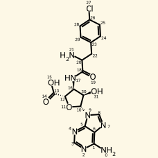 Nc1ncnc2c1ncn2[C@@H]1O[C@H](C(=O)O)[C@@H](NC(=O)C(N)Cc2ccc(Cl)cc2)[C@H]1O